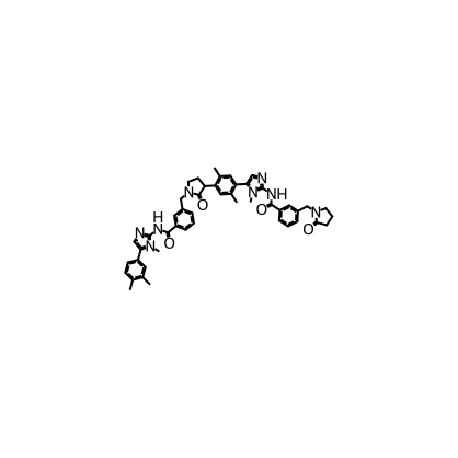 Cc1ccc(-c2cnc(NC(=O)c3cccc(CN4CCC(c5cc(C)c(-c6cnc(NC(=O)c7cccc(CN8CCCC8=O)c7)n6C)cc5C)C4=O)c3)n2C)cc1C